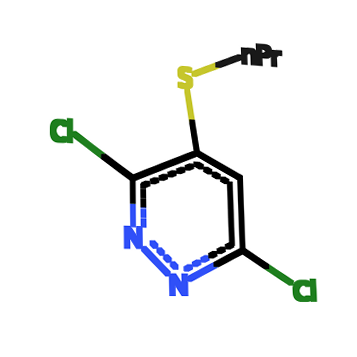 CCCSc1cc(Cl)nnc1Cl